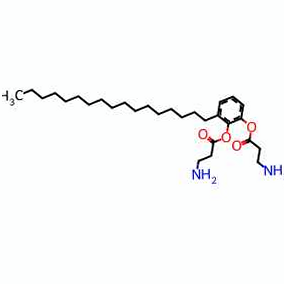 CCCCCCCCCCCCCCCCCc1cccc(OC(=O)CCN)c1OC(=O)CCN